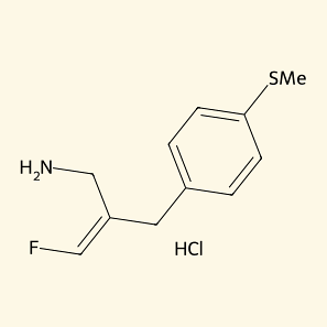 CSc1ccc(C/C(=C/F)CN)cc1.Cl